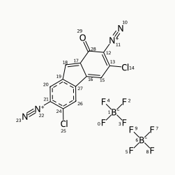 F[B-](F)(F)F.F[B-](F)(F)F.N#[N+]C1=C(Cl)C=C2C(=Cc3cc([N+]#N)c(Cl)cc32)C1=O